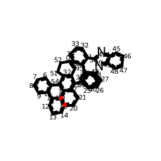 C1=Cc2c(c(-c3ccccc3-c3ccccc3)c3ccccc3c2-c2cccc(-n3c(-c4ccccc4-c4ccccc4)nc4ccccc43)c2)CC1